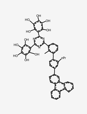 CCCc1cc(-c2ccc3c4ccccc4c4ccccc4c3c2)ccc1-c1cccc(-c2nc(-c3c(O)c(O)c(O)c(O)c3O)nc(-c3c(O)c(O)c(O)c(O)c3O)n2)c1C